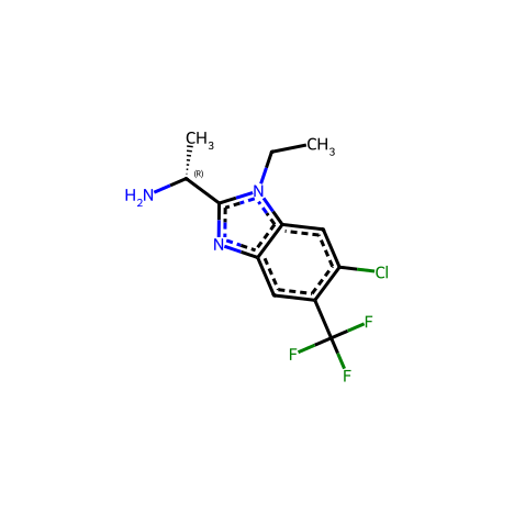 CCn1c([C@@H](C)N)nc2cc(C(F)(F)F)c(Cl)cc21